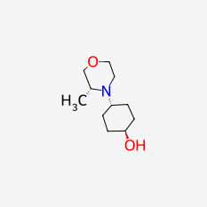 C[C@@H]1COCCN1[C@H]1CC[C@H](O)CC1